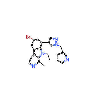 CCn1c2c(-c3cnn(Cc4cccnc4)c3)cc(Br)cc2c2ccnc(C)c21